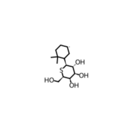 CC1(C)CC[CH]CC1[C@@H]1S[C@H](CO)[C@H](O)[C@H](O)[C@H]1O